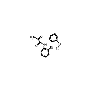 CCOc1ccccc1.CCc1ccccc1NC(=O)C(N)=O